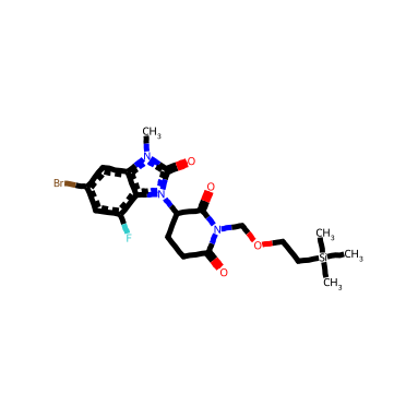 Cn1c(=O)n(C2CCC(=O)N(COCC[Si](C)(C)C)C2=O)c2c(F)cc(Br)cc21